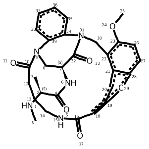 CN[C@@H](C)C(=O)N[C@H]1CN2C(=O)CCCNC(=O)c3ccc4c(c(OC)ccc4c3)CN(C1=O)c1ccccc12